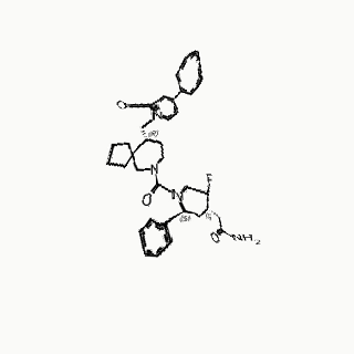 NC(=O)C[C@@H]1C[C@@H](c2ccccc2)N(C(=O)N2CC[C@@H](Cn3ccc(-c4ccccc4)cc3=O)C3(CCCC3)C2)CC1F